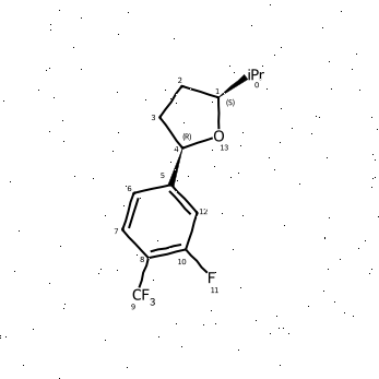 CC(C)[C@@H]1CC[C@H](c2ccc(C(F)(F)F)c(F)c2)O1